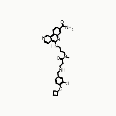 CN(CCCNc1nc2cc(C(N)=O)ccc2c2cnccc12)C(=O)CCNCc1ccc(OC2CCC2)c(Cl)c1